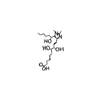 CCCCCC(O)c1c(C=CC(O)C(O)CC=CCCC(=O)O)nc(C)n1C